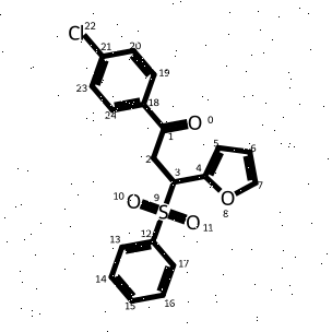 O=C(CC(c1ccco1)S(=O)(=O)c1ccccc1)c1ccc(Cl)cc1